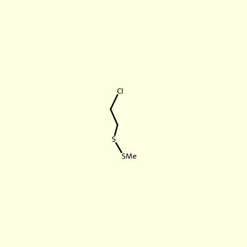 CSSCCCl